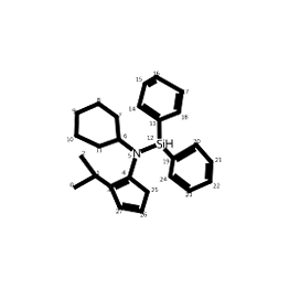 CC(C)C1=C(N(C2CCCCC2)[SiH](c2ccccc2)c2ccccc2)CC=C1